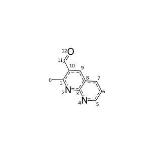 Cc1nc2ncccc2cc1[C]=O